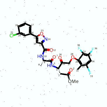 COC(=O)C[C@H](NC(=O)[C@H](C)NC(=O)c1cc(-c2cccc(Cl)c2)on1)C(=O)COc1c(C)c(F)cc(F)c1F